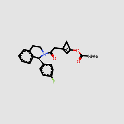 CNC(=O)OC12CC(CC(=O)N3CCc4ccccc4[C@@H]3c3ccc(F)cc3)(C1)C2